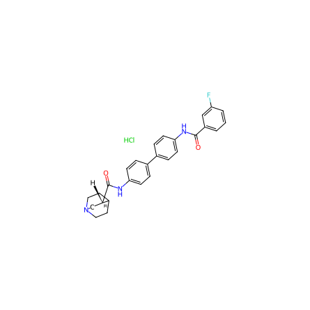 Cl.O=C(Nc1ccc(-c2ccc(NC(=O)[C@H]3CN4CCC3CC4)cc2)cc1)c1cccc(F)c1